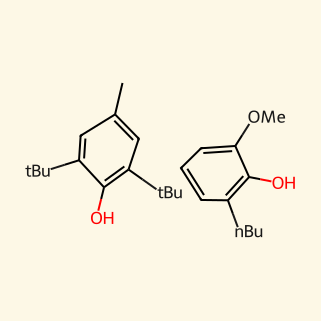 CCCCc1cccc(OC)c1O.Cc1cc(C(C)(C)C)c(O)c(C(C)(C)C)c1